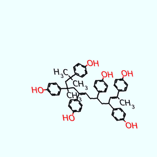 CC(=CC(CC(CC=C(CC(C)(CC(C)(C)c1ccc(O)cc1)c1ccc(O)cc1)c1ccc(O)cc1)c1ccc(O)cc1)c1ccc(O)cc1)c1ccc(O)cc1